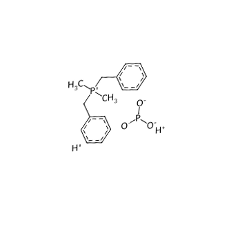 C[P+](C)(Cc1ccccc1)Cc1ccccc1.[H+].[H+].[O-]P([O-])[O-]